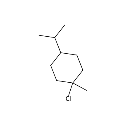 CC(C)C1CCC(C)(Cl)CC1